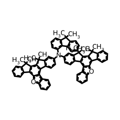 CC1(C)c2ccccc2-c2c(N(c3ccc4c(c3)C(C)(C)c3c5c(c6oc7ccccc7c6c3-4)-c3ccccc3C5(C)C)c3ccc4c(c3)C(C)(C)c3c5c(c6oc7ccccc7c6c3-4)-c3ccccc3C5(C)C)cccc21